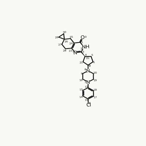 O=c1[nH]c([C@H]2CC[C@@H](N3CCN(c4ccc(Cl)cc4)CC3)C2)nc2c1CC1(CC2)CC1